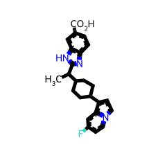 CC(c1nc2ccc(C(=O)O)cc2[nH]1)C1CCC(c2ccn3ccc(F)cc23)CC1